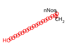 C=CCOCC(COCCOCCOCCOCCOCCOCCOCCOCCOCCOCCOCCOCCOCCOCCOCCOCCOCCOCCOCCOCCO)Oc1ccc(CCCCCCCCC)cc1